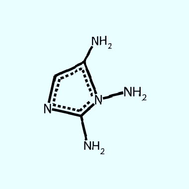 Nc1cnc(N)n1N